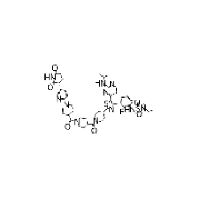 CCN(C)S(=O)(=O)Nc1cccc(-c2nc(C3CCN(C(=O)C4CCN(C(=O)C5CCN(c6ccc([C@H]7CCC(=O)NC7=O)cn6)CC5)CC4)CC3)sc2-c2ccnc(NC(C)C)n2)c1F